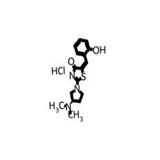 CN(C)[C@@H]1CCN(C2=NC(=O)C(=Cc3ccccc3O)S2)C1.Cl